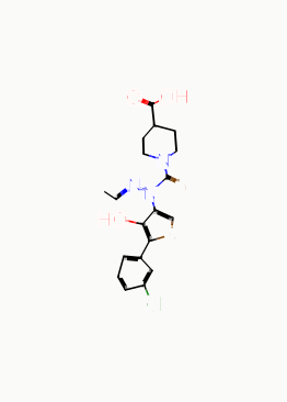 C/C=N/N(C(=S)N1CCC(C(=O)O)CC1)c1csc(-c2cccc(Cl)c2)c1O